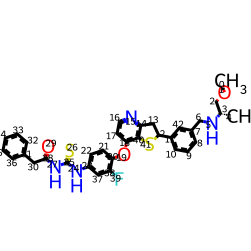 COC[C@H](C)NCc1cccc(C2Cc3nccc(Oc4ccc(NC(=S)NC(=O)Cc5ccccc5)cc4F)c3S2)c1